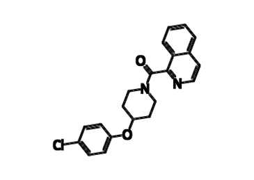 O=C(c1nccc2ccccc12)N1CCC(Oc2ccc(Cl)cc2)CC1